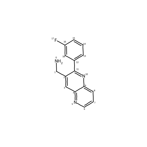 NCc1cc2ncccc2nc1-c1cccc(F)c1